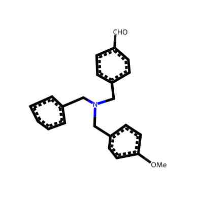 COc1ccc(CN(Cc2ccccc2)Cc2ccc(C=O)cc2)cc1